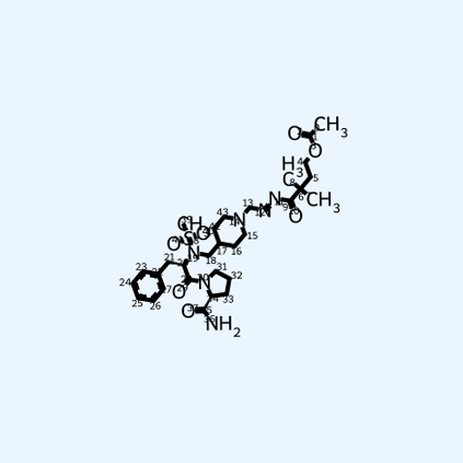 CC(=O)OCCC(C)(C)C(=O)N=NCN1CCC(CN([C@H](Cc2ccccc2)C(=O)N2CCC[C@H]2C(N)=O)S(C)(=O)=O)CC1